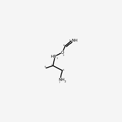 CC(BOC=N)CN